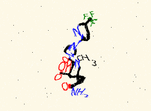 CN1CC2(CC(C(=O)O)C1C(=O)N1CCN(c3ccc(C(F)(F)F)cn3)CC1)CC2C(N)=O